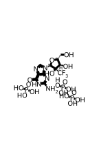 Nc1nc2c(ncn2[C@@H]2O[C@H](CO)[C@@H](O)[C@]2(O)C(F)(F)F)c(=O)[nH]1.O=P(O)(O)O.O=P(O)(O)O.O=P(O)(O)O